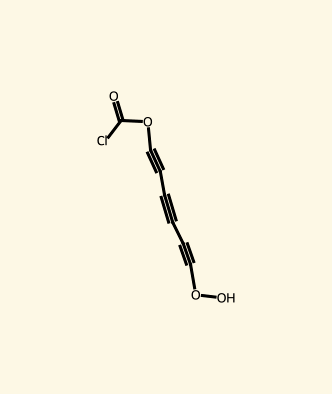 O=C(Cl)OC#CC#CC#COO